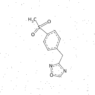 CS(=O)(=O)c1ccc(Cc2n[c]on2)cc1